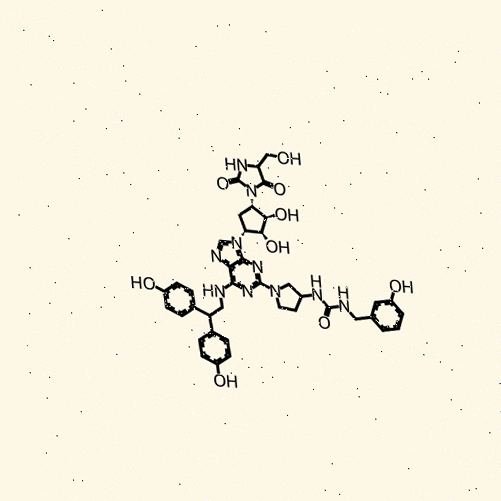 O=C(NCc1cccc(O)c1)NC1CCN(c2nc(NCC(c3ccc(O)cc3)c3ccc(O)cc3)c3ncn([C@@H]4C[C@H](N5C(=O)NC(CO)C5=O)[C@@H](O)[C@H]4O)c3n2)C1